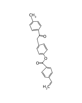 C=Cc1ccc(C(=O)Oc2ccc(CC(=O)c3ccc(C)cc3)cc2)cc1